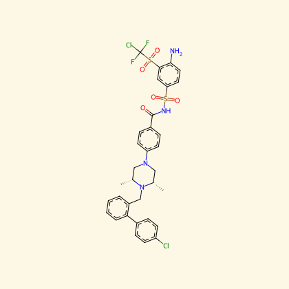 C[C@@H]1CN(c2ccc(C(=O)NS(=O)(=O)c3ccc(N)c(S(=O)(=O)C(F)(F)Cl)c3)cc2)C[C@H](C)N1Cc1ccccc1-c1ccc(Cl)cc1